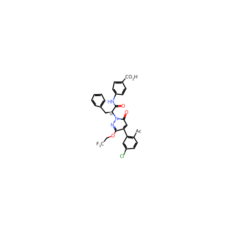 CC(=O)c1ccc(Cl)cc1-c1cc(=O)n([C@@H](Cc2ccccc2)C(=O)Nc2ccc(C(=O)O)cc2)nc1OCC(F)(F)F